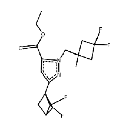 CCOC(=O)c1cc(C23CC(C2)C3(F)F)nn1CC1(C)CC(F)(F)C1